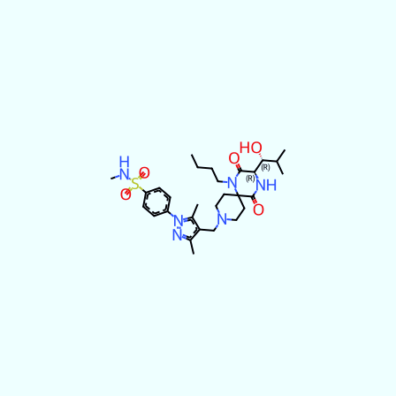 CCCCN1C(=O)[C@@H]([C@H](O)C(C)C)NC(=O)C12CCN(Cc1c(C)nn(-c3ccc(S(=O)(=O)NC)cc3)c1C)CC2